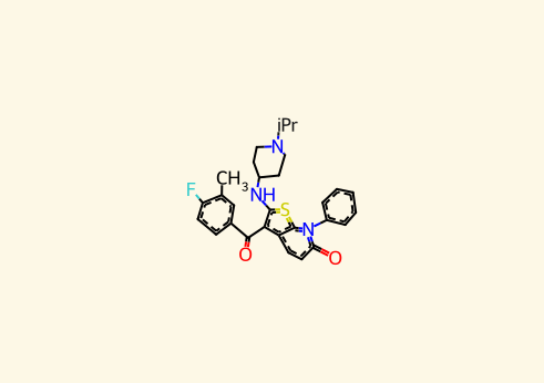 Cc1cc(C(=O)c2c(NC3CCN(C(C)C)CC3)sc3c2ccc(=O)n3-c2ccccc2)ccc1F